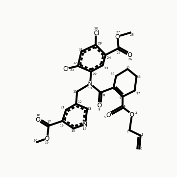 C=CCOC(=O)C1=C(C(=O)N(Cc2cncc(C(=O)OC)c2)c2cc(C(=O)OC)c(Cl)cc2Cl)CCCC1